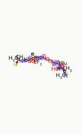 Cc1ncsc1-c1ccc([C@H](C)NC(=O)[C@@H]2C[C@@H](O)CN2C(=O)C(NC(=O)CCC(=O)NCCOCCOCCNC(=O)N2CCN(CC[C@H](CSc3ccccc3)Nc3ccc(S(=O)(=O)NC(=O)c4ccc(N5CCN(CC6=C(C78CC(C(F)F)(C7)C8)CC(C)(C)CC6)CC5)cc4)cc3S(=O)(=O)C(F)(F)F)CC2)C(C)(C)C)cc1